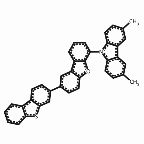 Cc1ccc2c(c1)c1cc(C)ccc1n2-c1cccc2c1oc1ccc(-c3ccc4c(c3)sc3ccccc34)cc12